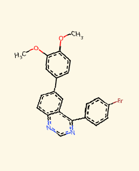 COc1ccc(-c2ccc3ncnc(-c4ccc(Br)cc4)c3c2)cc1OC